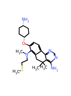 CSCCN(C)c1c(O[C@H]2CC[C@@H](N)CC2)ccc2c1CC(C)(C)c1c(N)ncnc1-2